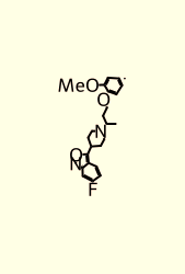 COc1c[c]ccc1OCCC(C)N1CCC(c2onc3cc(F)ccc23)CC1